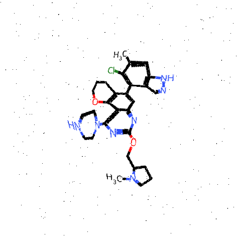 Cc1cc2[nH]ncc2c(-c2cc3nc(OCC4CCCN4C)nc(N4CCNCC4)c3c3c2CCCO3)c1Cl